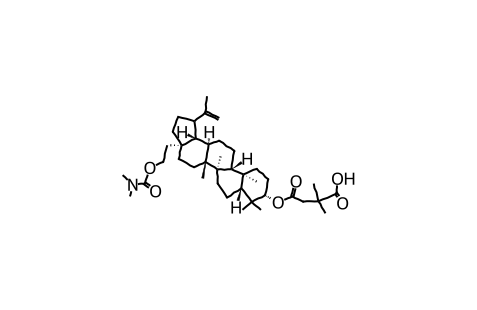 C=C(C)C1CC[C@]2(CCOC(=O)N(C)C)CC[C@]3(C)[C@H](CC[C@@H]4[C@@]5(C)CC[C@H](OC(=O)CC(C)(C)C(=O)O)C(C)(C)[C@@H]5CC[C@]43C)[C@@H]12